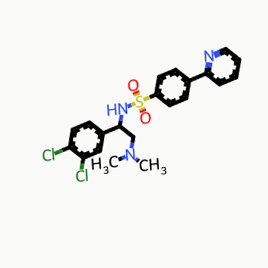 CN(C)CC(NS(=O)(=O)c1ccc(-c2ccccn2)cc1)c1ccc(Cl)c(Cl)c1